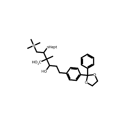 CCCCCCCC(C[Si](C)(C)C)C(C)(C(=O)O)C(O)CCc1ccc(C2(c3ccccc3)OCCO2)cc1